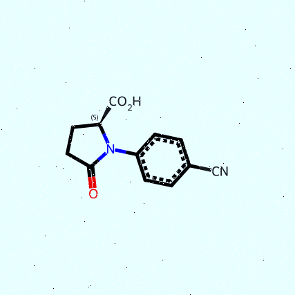 N#Cc1ccc(N2C(=O)CC[C@H]2C(=O)O)cc1